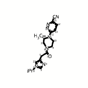 CC(C)n1cnc(CC(=O)N2CCN(c3ccc(C#N)nn3)[C@@H](C)C2)c1